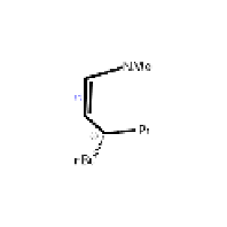 CCCC[C@H](/C=C\NC)C(C)C